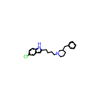 Clc1ccc2[nH]c(CCCCN3CCCC(Cc4ccccc4)C3)cc2c1